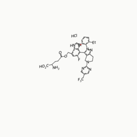 CCc1cccc(CC)c1-n1nc2c(c1-c1c(F)cc(COC(=O)CCC(N)C(=O)O)c3[nH]ccc13)CN(c1ncc(C(F)(F)F)cn1)CC2.Cl